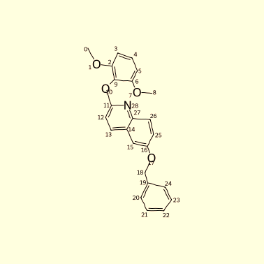 COc1cccc(OC)c1Oc1ccc2cc(OCc3ccccc3)ccc2n1